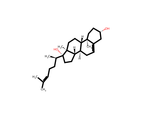 CC(C)=CCC[C@@H](C)[C@]1(O)CC[C@H]2[C@@H]3CC=C4C[C@@H](O)CC[C@]4(C)[C@H]3CC[C@@]21C